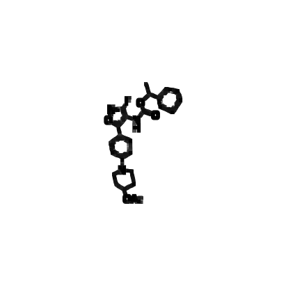 CC(=O)OC1CCN(c2ccc(-c3onc(F)c3NC(=O)OC(C)c3ccccc3)cc2)CC1